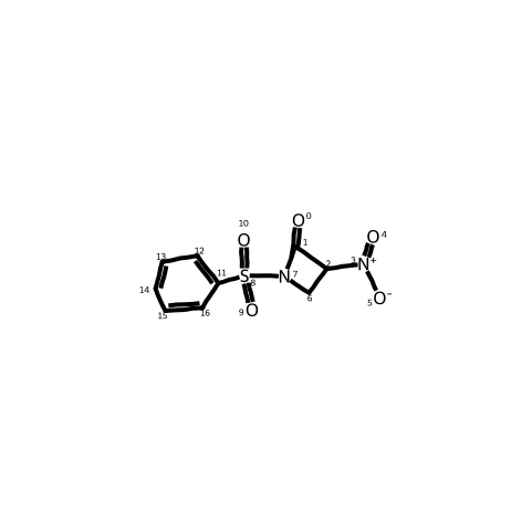 O=C1C([N+](=O)[O-])CN1S(=O)(=O)c1ccccc1